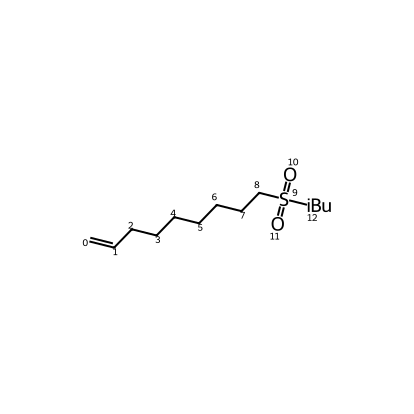 C=CCCCCCCCS(=O)(=O)C(C)CC